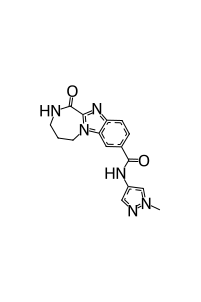 Cn1cc(NC(=O)c2ccc3nc4n(c3c2)CCCNC4=O)cn1